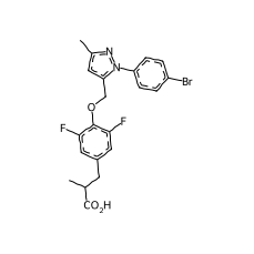 Cc1cc(COc2c(F)cc(CC(C)C(=O)O)cc2F)n(-c2ccc(Br)cc2)n1